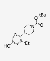 CCc1cc(O)cnc1C1CCN(C(=O)OC(C)(C)C)CC1